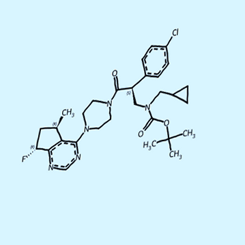 C[C@@H]1C[C@@H](F)c2ncnc(N3CCN(C(=O)[C@H](CN(CC4CC4)C(=O)OC(C)(C)C)c4ccc(Cl)cc4)CC3)c21